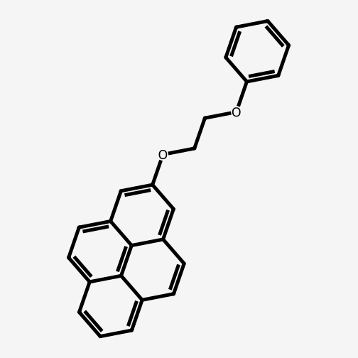 c1ccc(OCCOc2cc3ccc4cccc5ccc(c2)c3c45)cc1